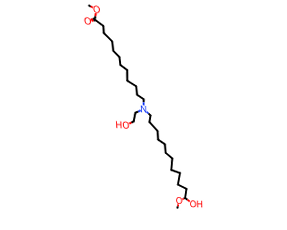 COC(=O)CCCCCCCCCCCN(CCO)CCCCCCCCCCCC(O)OC